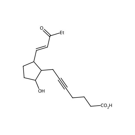 CCC(=O)C=CC1CCC(O)C1CC#CCCCC(=O)O